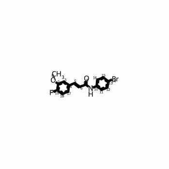 COc1cc(/C=C/C(=O)Nc2ccc(Br)cc2)ccc1F